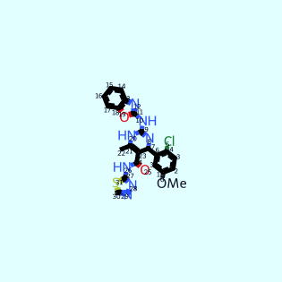 COc1ccc(Cl)c(C2N=C(Nc3nc4ccccc4o3)NC(C)=C2C(=O)Nc2nncs2)c1